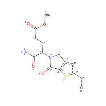 CC(C)(C)OC(=O)CCC(C(N)=O)N1Cc2cc(CCl)sc2C1=O